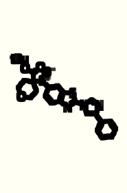 CC(C)(C)OC(=O)C1([S+]([O-])c2ccc3nc(-n4cnc(-c5ccccc5)c4)sc3c2)CCOCC1